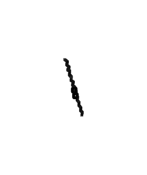 CCCCC=CC=CCCCCOCOCCCCCCCC